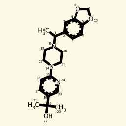 CC(c1ccc2c(c1)OCO2)N1CCN(c2ccc(C(C)(C)O)cn2)CC1